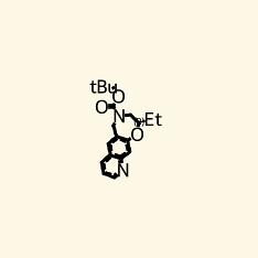 CC[C@@H]1CN(C(=O)OC(C)(C)C)Cc2cc3cccnc3cc2O1